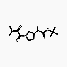 CN(C)C(=O)C(=O)N1CC[C@H](NC(=O)OC(C)(C)C)C1